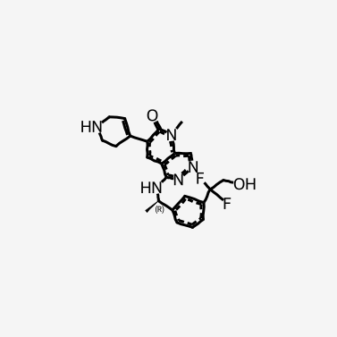 C[C@@H](Nc1nncc2c1cc(C1=CCNCC1)c(=O)n2C)c1cccc(C(F)(F)CO)c1